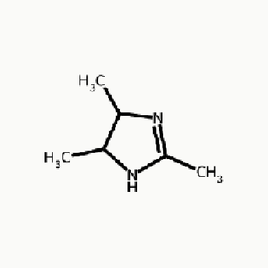 CC1=NC(C)C(C)N1